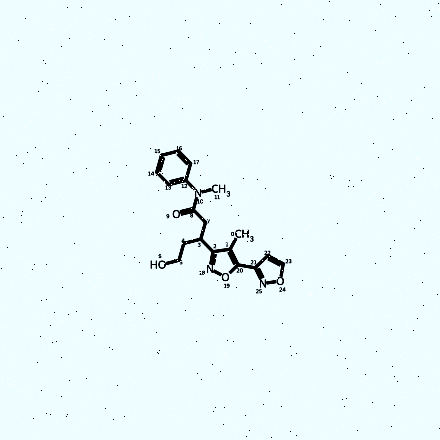 Cc1c(C(CCO)CC(=O)N(C)c2ccccc2)noc1-c1ccon1